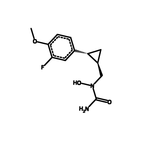 COc1ccc([C@@H]2C[C@H]2CN(O)C(N)=O)cc1F